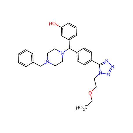 O=C(O)COCCn1nnnc1-c1ccc(C(c2cccc(O)c2)N2CCN(Cc3ccccc3)CC2)cc1